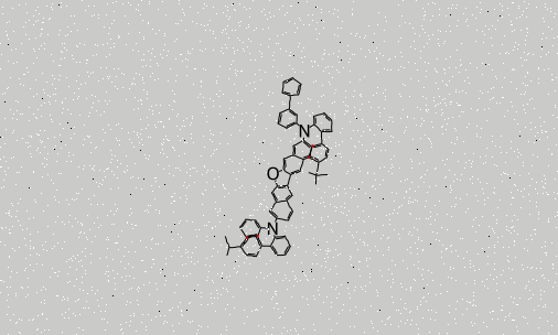 CC(C)c1ccc(-c2ccccc2N(c2ccccc2)c2ccc3cc4c(cc3c2)oc2cc3cc(N(c5cccc(-c6ccccc6)c5)c5ccccc5-c5ccc(C(C)(C)C)cc5)ccc3cc24)cc1